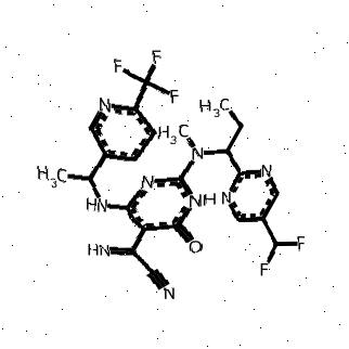 CCC(c1ncc(C(F)F)cn1)N(C)c1nc(NC(C)c2ccc(C(F)(F)F)nc2)c(C(=N)C#N)c(=O)[nH]1